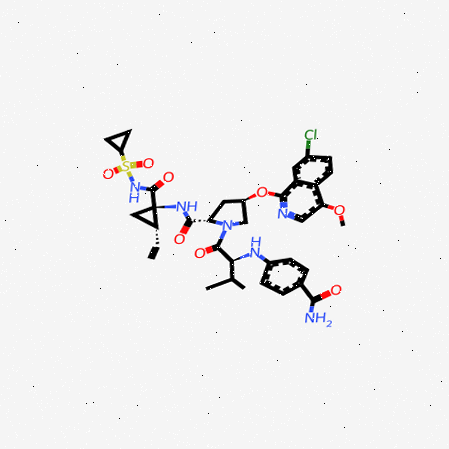 C=C[C@@H]1C[C@]1(NC(=O)[C@@H]1C[C@@H](Oc2ncc(OC)c3ccc(Cl)cc23)CN1C(=O)[C@@H](Nc1ccc(C(N)=O)cc1)C(C)C)C(=O)NS(=O)(=O)C1CC1